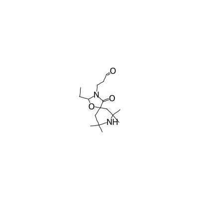 CCC1OC2(CC(C)(C)NC(C)(C)C2)C(=O)N1CCC=O